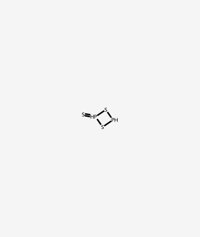 S=[PH]1SPS1